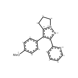 COc1ccc(-c2c(-c3ccccn3)nn3c2CCC3)cc1